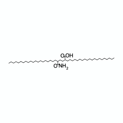 CCCCCCCCCCCCCCCCCCCCC(CCC(CCCCCCCCCCCCCCCCCCCC)C(=O)O)C(N)=O